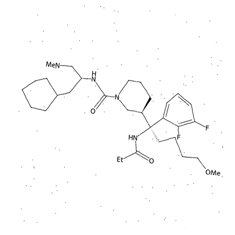 CCC(=O)N[C@](CCCCOC)(c1cccc(F)c1F)[C@@H]1CCCN(C(=O)NC(CNC)CC2CCCCC2)C1